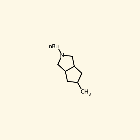 CCCCN1CC2CC(C)CC2C1